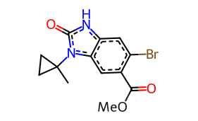 COC(=O)c1cc2c(cc1Br)[nH]c(=O)n2C1(C)CC1